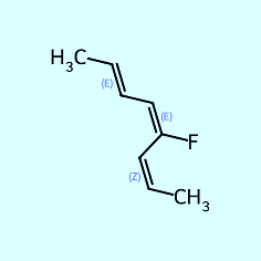 C\C=C/C(F)=C\C=C\C